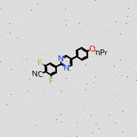 CCCOc1ccc(-c2cnc(-c3cc(F)c(C#N)c(F)c3)nc2)cc1